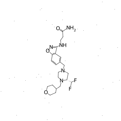 NC(=O)CCNc1noc2ccc(CN3CCN(CC4CCOCC4)[C@@H](C(F)F)C3)cc12